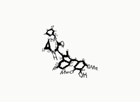 COc1cc(/C=C2/C(C)=C(C(NC3CC3)C(=O)NCc3ccccc3)c3cc(F)ccc32)cc(OC)c1O